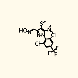 CSc1c(C=NO)nn(-c2c(Cl)cc(C(F)(F)F)cc2Cl)c1N(C)C